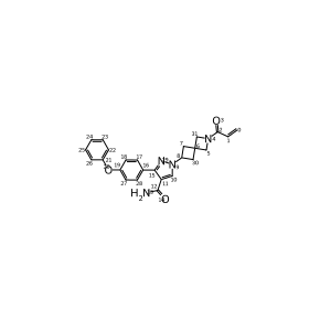 C=CC(=O)N1CC2(CC(n3cc(C(N)=O)c(-c4ccc(Oc5ccccc5)cc4)n3)C2)C1